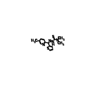 Cc1ccc(/C(=N/NC(=S)N(C)C)c2cccs2)nc1